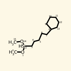 CO[SiH](CCCCCC1CCCCC1)OC